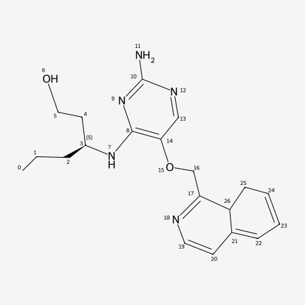 CCC[C@@H](CCO)Nc1nc(N)ncc1OCC1=NC=CC2=CC=CCC21